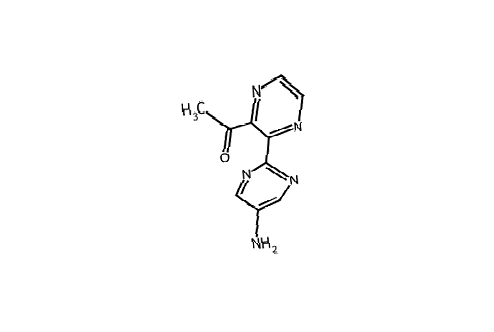 CC(=O)c1nccnc1-c1ncc(N)cn1